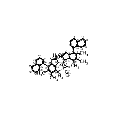 CC1=Cc2c(-c3cccc4ccccc34)c(C)c(C)c(C)c2[CH]1[Zr+2]1([CH]2C(C)=Cc3c(-c4cccc5ccccc45)c(C)c(C)c(C)c32)[CH2][CH2]1.[Cl-].[Cl-]